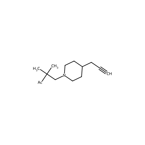 C#CCC1CCN(CC(C)(C)C(C)=O)CC1